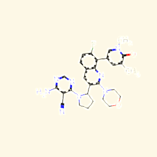 Cc1cc(-c2c(F)ccc3cc(C4CCCN4c4ncnc(N)c4C#N)c(N4CCOCC4)nc23)cn(C)c1=O